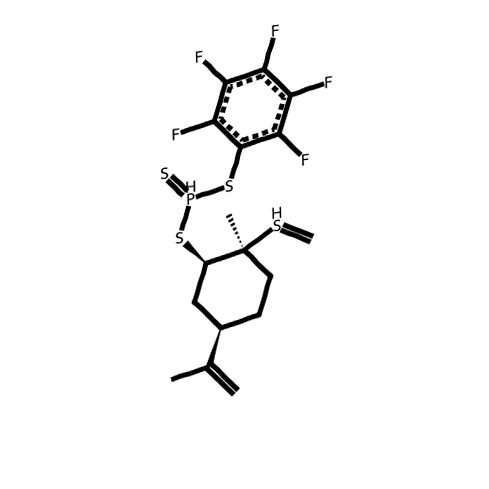 C=[SH][C@@]1(C)CC[C@@H](C(=C)C)C[C@H]1S[PH](=S)Sc1c(F)c(F)c(F)c(F)c1F